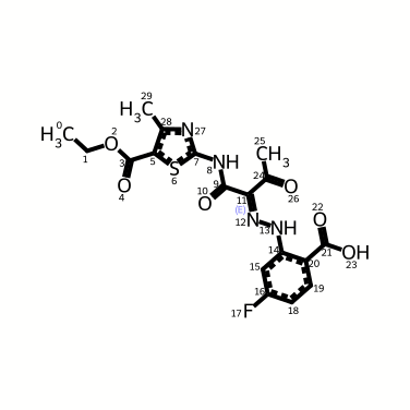 CCOC(=O)c1sc(NC(=O)/C(=N/Nc2cc(F)ccc2C(=O)O)C(C)=O)nc1C